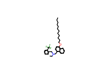 CCCCCCCCCCCCOc1ccc(CN(CC)Cc2ccccc2C(F)(F)F)c2ccccc12